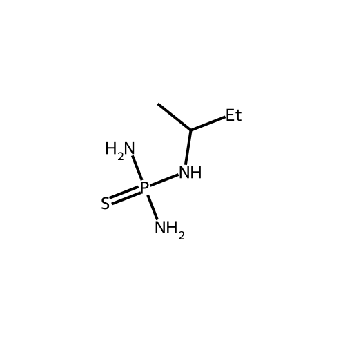 CCC(C)NP(N)(N)=S